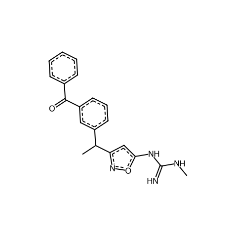 CNC(=N)Nc1cc(C(C)c2cccc(C(=O)c3ccccc3)c2)no1